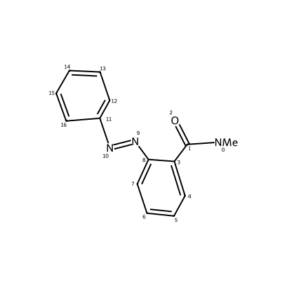 [CH2]NC(=O)c1ccccc1N=Nc1ccccc1